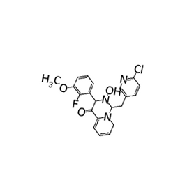 COc1cccc(C2C(=O)C3=CC=CCN3C(Cc3ccc(Cl)nc3)N2O)c1F